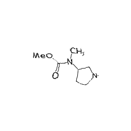 COC(=O)N(C)C1CC[N]C1